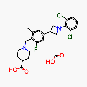 Cc1cc(C2CN(c3c(Cl)cccc3Cl)C2)cc(F)c1CN1CCC(C(=O)O)CC1.O=CO